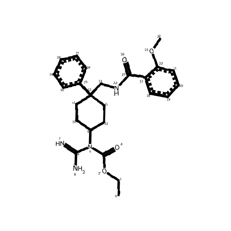 CCOC(=O)N(C(=N)N)C1CCC(CNC(=O)c2ccccc2OC)(c2ccccc2)CC1